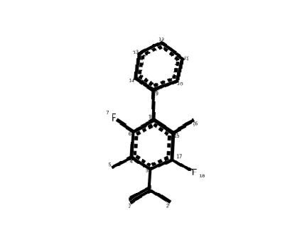 C=C(C)c1c(C)c(F)c(-c2ccccc2)c(C)c1F